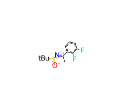 C/C(=N\[S+]([O-])C(C)(C)C)c1cccc(F)c1F